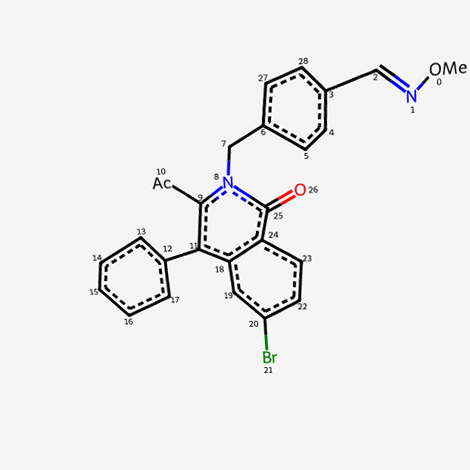 CON=Cc1ccc(Cn2c(C(C)=O)c(-c3ccccc3)c3cc(Br)ccc3c2=O)cc1